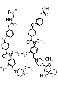 Cc1cc(N(C)C(=O)[C@H]2CC[C@H](Oc3cccc(CC(=O)NCC(F)F)c3)CC2)ccc1CN1CCN[C@@H](C)C1.Cc1cc(N(C)C(=O)[C@H]2CC[C@H](Oc3cccc(CC(=O)O)c3)CC2)ccc1CN1CCN(C(=O)OC(C)(C)C)[C@@H](C)C1